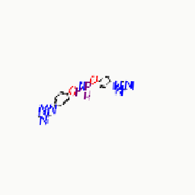 c1ncn(-c2ccc(OP=NPOc3ccc(-n4cncn4)cc3)cc2)n1